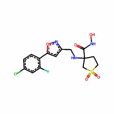 O=C(NO)C1(NCc2cc(-c3ccc(Cl)cc3F)on2)CCS(=O)(=O)C1